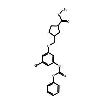 CC(C)(C)OC(=O)N1CCC(COc2cc(Cl)cc(NC(=O)Oc3ccccc3)c2)C1